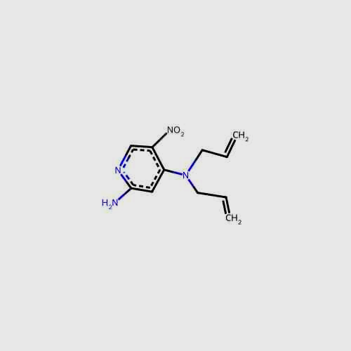 C=CCN(CC=C)c1cc(N)ncc1[N+](=O)[O-]